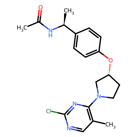 CC(=O)N[C@@H](C)c1ccc(O[C@@H]2CCN(c3nc(Cl)ncc3C)C2)cc1